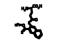 CCCOC(=S)c1cc2ccccc2cc1SC(=O)CC[C@H](N)C(=O)O